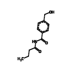 CCCC(=O)NC(=O)c1ccc(CO)cc1